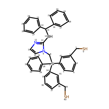 SCc1cccc([Si](Cn2ccnc2BC(c2ccccc2)c2ccccc2)(c2ccccc2)c2cccc(CS)c2)c1